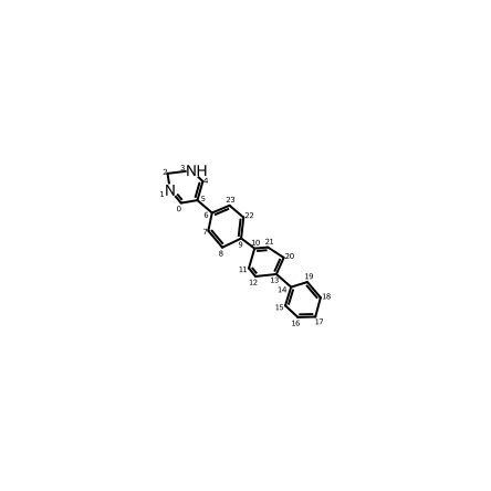 C1=NCNC=C1c1ccc(-c2ccc(-c3ccccc3)cc2)cc1